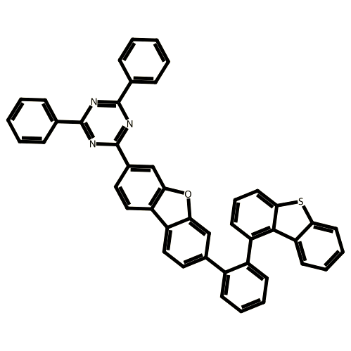 c1ccc(-c2nc(-c3ccccc3)nc(-c3ccc4c(c3)oc3cc(-c5ccccc5-c5cccc6sc7ccccc7c56)ccc34)n2)cc1